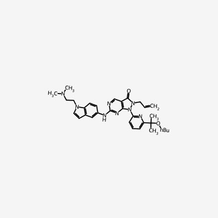 C=CCn1c(=O)c2cnc(Nc3ccc4c(ccn4CCN(C)C)c3)nc2n1-c1cccc(C(C)(C)OCCCC)n1